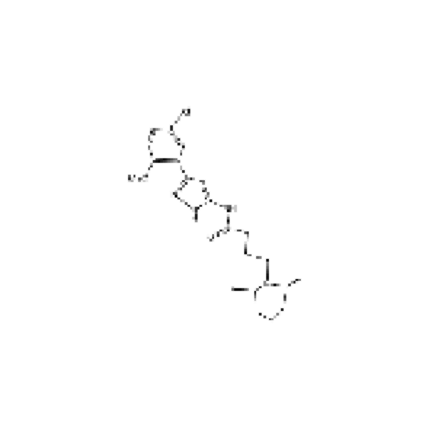 COc1ccc(Cl)cc1-c1cc(NC(=O)CCCN2[C@H](C)CCC[C@@H]2C)[nH]n1